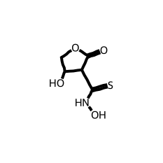 O=C1OCC(O)C1C(=S)NO